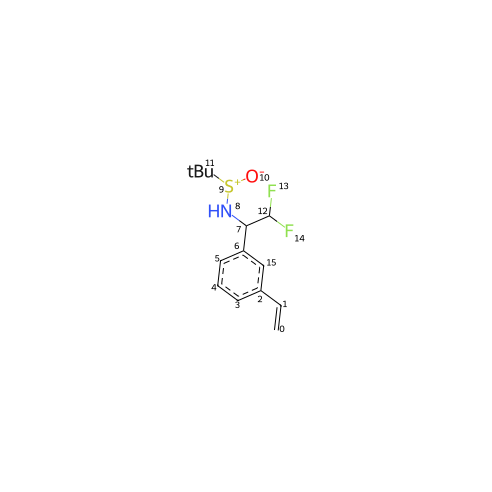 C=Cc1cccc(C(N[S+]([O-])C(C)(C)C)C(F)F)c1